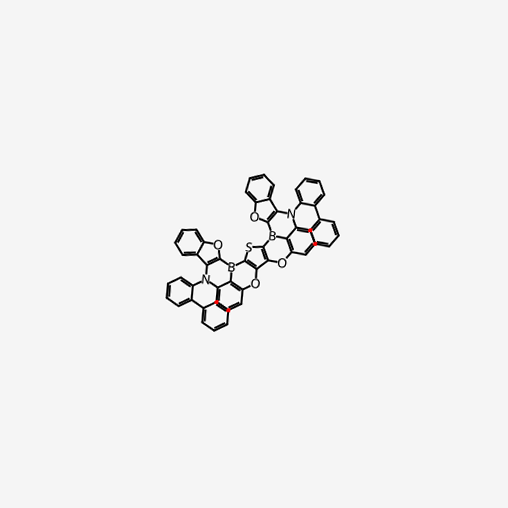 c1ccc(-c2ccccc2N2c3cccc4c3B(c3oc5ccccc5c32)c2sc3c(c2O4)Oc2cccc4c2B3c2oc3ccccc3c2N4c2ccccc2-c2ccccc2)cc1